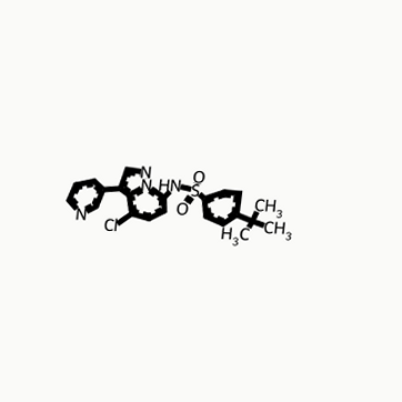 CC(C)(C)c1ccc(S(=O)(=O)Nc2ccc(Cl)c3c(-c4cccnc4)cnn23)cc1